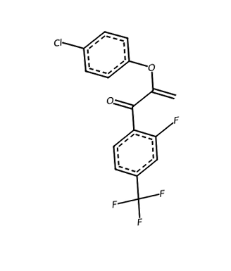 C=C(Oc1ccc(Cl)cc1)C(=O)c1ccc(C(F)(F)F)cc1F